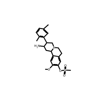 COc1cc2c(cc1OS(C)(=O)=O)CCN1CC(c3cc(C)ccc3C)C(N)CC21